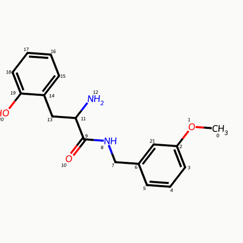 COc1cccc(CNC(=O)C(N)Cc2ccccc2O)c1